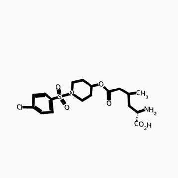 CC(CC(=O)OC1CCN(S(=O)(=O)c2ccc(Cl)cc2)CC1)C[C@H](N)C(=O)O